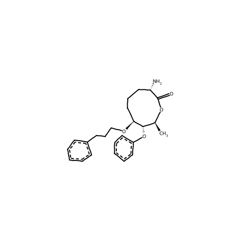 C[C@@H]1OC(=O)[C@@H](N)CCC[C@H](OCCCc2ccccc2)[C@H]1Oc1ccccc1